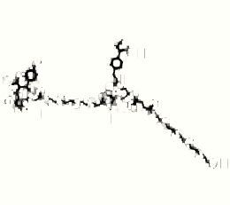 Cc1ncsc1-c1ccc(CNC(=O)[C@@H]2C[C@@H](OC(=O)CCC(=O)OCCOCCOCCOCCOCCO)CN2C(=O)[C@@H](NC(=O)COCCOCCOCCNC(=O)C[C@@H]2N=C(c3ccc(Cl)cc3)c3c(sc(C)c3C)-n3c(C)nnc32)C(C)(C)C)cc1